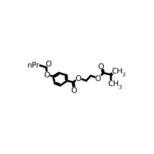 C=C(C)C(=O)OCCOC(=O)c1ccc(OC(=O)CCC)cc1